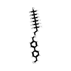 FC(F)(F)C(F)(F)C(F)(F)C(F)(F)C(F)(F)C(F)(F)CCOCc1ccc(-c2ccc(CCl)cc2)cc1